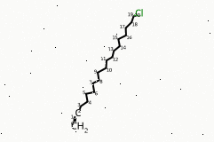 C=CCCCCCCCCCCCCCCCCCCCl